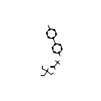 CCC1(CO)COC(C(C)(C)Oc2ccc(-c3ccc(Cl)cc3)cc2)=N1